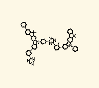 Cc1c(-c2ccc3c(c2)c2cc4c(cc2n3-c2ccccc2)C(C)(C)c2ccccc2-4)cccc1-c1ncnc(-c2ccc(-n3c4ccc(-c5cccc(-c6ncncn6)c5)cc4c4cc5c(cc43)C(C)(C)c3cc(-c4ccccc4)ccc3-5)cc2)n1